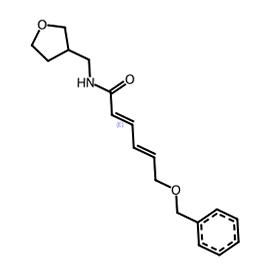 O=C(/C=C/C=CCOCc1ccccc1)NCC1CCOC1